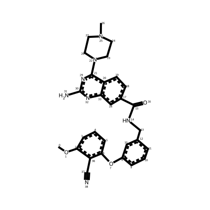 COc1cccc(Oc2cccc(CNC(=O)c3ccc4c(N5CCN(C)CC5)nc(N)nc4c3)c2)c1C#N